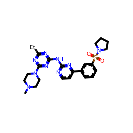 CCc1nc(Nc2nccc(-c3cccc(S(=O)(=O)N4CCCC4)c3)n2)nc(N2CCN(C)CC2)n1